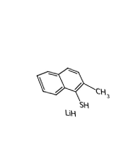 Cc1ccc2ccccc2c1S.[LiH]